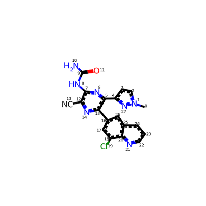 Cn1ccc(-c2nc(NC(N)=O)c(C#N)nc2-c2cc(Cl)c3ncccc3c2)n1